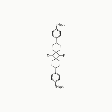 CCCCCCCc1ccc(C2CCC3(CC2)C(=O)C2(CCC(c4ccc(CCCCCCC)cc4)CC2)C3F)cc1